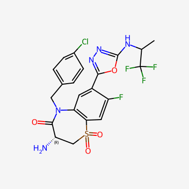 CC(Nc1nnc(-c2cc3c(cc2F)S(=O)(=O)C[C@H](N)C(=O)N3Cc2ccc(Cl)cc2)o1)C(F)(F)F